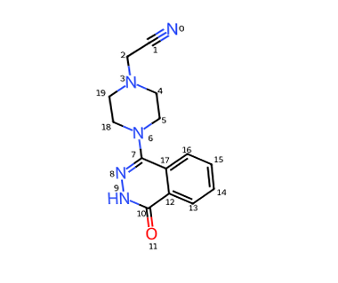 N#CCN1CCN(c2n[nH]c(=O)c3ccccc23)CC1